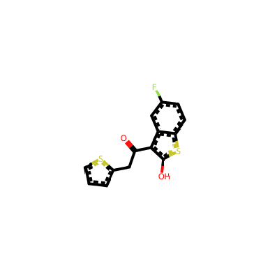 O=C(Cc1cccs1)c1c(O)sc2ccc(F)cc12